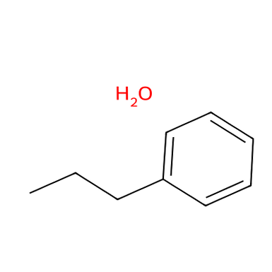 CCCc1ccccc1.O